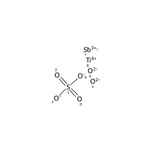 O=S(=O)([O-])[O-].[O-2].[O-2].[Sb+3].[Ti+4]